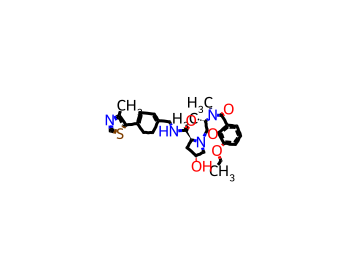 CCOc1cccc(C(=O)N(C)[C@@H](C)C(=O)N2C[C@H](O)C[C@H]2C(=O)NCC2=CC=C(c3scnc3C)CC2)c1